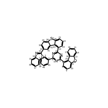 c1ccc(-c2nc(-c3cccc4oc5ccccc5c34)nc(-c3cccc4sc5ccc(-c6nc7ccccc7o6)cc5c34)n2)cc1